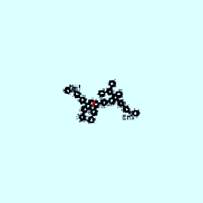 CCc1nc2ccccc2n1-c1ccc(-c2ccc(-c3c4ccccc4c(-c4cc(-c5ccccc5)cc(-c5ccccc5)c4)c4cc(-c5ccc(-c6cccc(-c7ccc(-c8ccccc8)cc7-c7c8ccccc8c(-c8ccc(-c9ccc(-n%10c(CC)nc%11ccccc%11%10)cc9)cc8)c8ccc(-c9ccccc9)cc78)c6)cc5)ccc34)cc2)cc1